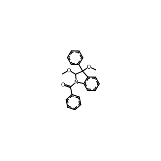 COC1N(C(=O)c2ccccc2)c2ccccc2C1(OC)c1ccccc1